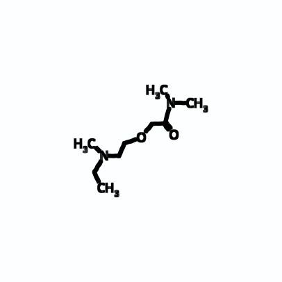 CCN(C)CCOCC(=O)N(C)C